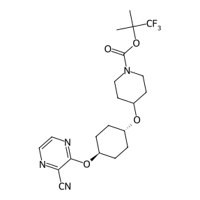 CC(C)(OC(=O)N1CCC(O[C@H]2CC[C@H](Oc3nccnc3C#N)CC2)CC1)C(F)(F)F